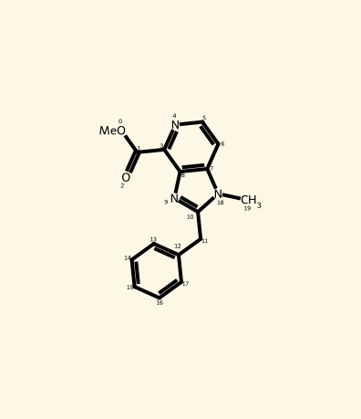 COC(=O)c1nccc2c1nc(Cc1ccccc1)n2C